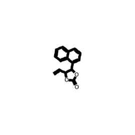 C=CC1OC(=O)OC1c1cccc2ccccc12